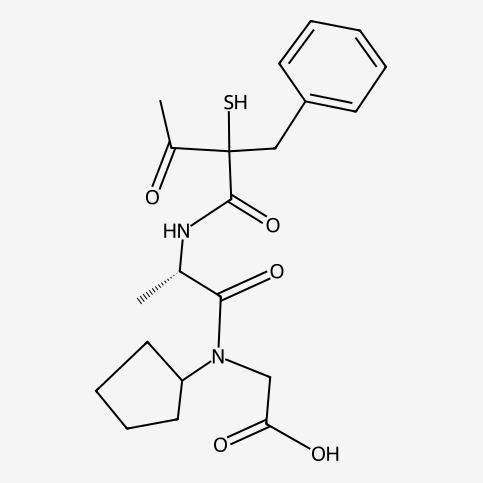 CC(=O)C(S)(Cc1ccccc1)C(=O)N[C@@H](C)C(=O)N(CC(=O)O)C1CCCC1